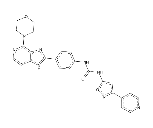 O=C(Nc1ccc(-c2nc3c(N4CCOCC4)nccc3[nH]2)cc1)Nc1cc(-c2ccncc2)no1